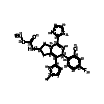 Cn1ccc(C2=C3CC(NC(=O)OC(C)(C)C)CN3C(c3nccs3)=N[C@H]2c2ccc(F)cc2Cl)n1